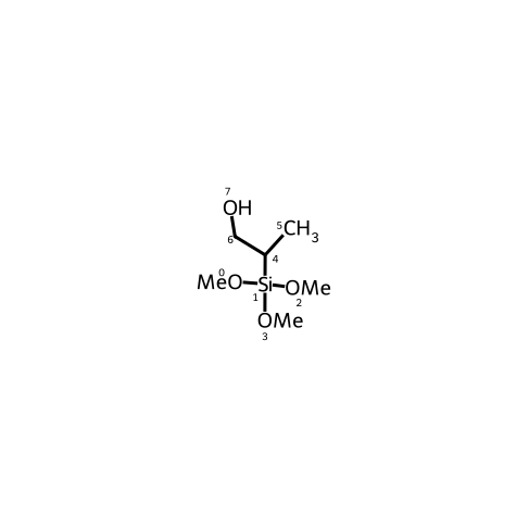 CO[Si](OC)(OC)C(C)CO